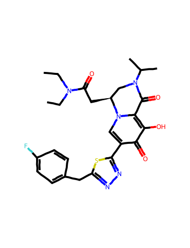 CCN(CC)C(=O)C[C@H]1CN(C(C)C)C(=O)c2c(O)c(=O)c(-c3nnc(Cc4ccc(F)cc4)s3)cn21